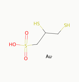 O=S(=O)(O)CC(S)CS.[Au]